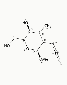 CO[C@H]1OC(CO)[C@@H](O)[C@H](C)C1N=[N+]=[N-]